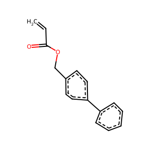 C=CC(=O)OCc1ccc(-c2ccccc2)cc1